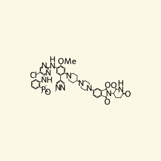 COc1cc(N2CCC(N3CCN(c4ccc5c(c4)C(=O)N(C4CCC(=O)NC4=O)C5=O)CC3)CC2)c(-c2cnn(C)c2)cc1Nc1ncc(Cl)c(Nc2ccccc2P(C)(C)=O)n1